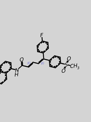 CS(=O)(=O)c1ccc(/C(=C/C=C/C(=O)Nc2cccc3cnccc23)c2ccc(F)cc2)cc1